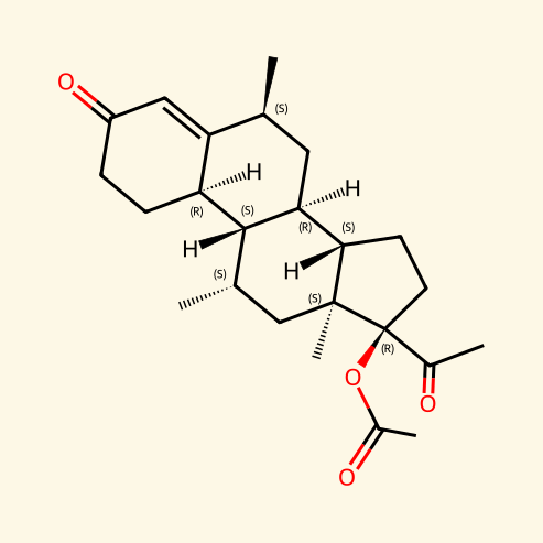 CC(=O)O[C@]1(C(C)=O)CC[C@H]2[C@@H]3C[C@H](C)C4=CC(=O)CC[C@@H]4[C@H]3[C@@H](C)C[C@@]21C